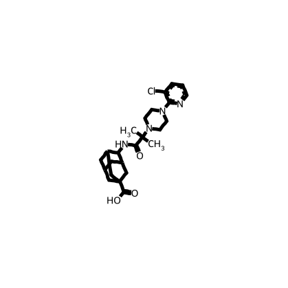 CC(C)(C(=O)NC1C2CC3CC1CC(C(=O)O)(C3)C2)N1CCN(c2ncccc2Cl)CC1